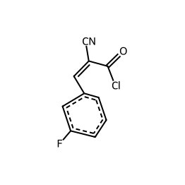 N#CC(=Cc1cccc(F)c1)C(=O)Cl